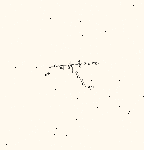 [N-]=[N+]=NCCOCCOCCC(=O)NCCCC[C@H](NC(=O)CCCNCC(O)CCOCCC1CC1CCN=[N+]=[N-])C(=O)CNCCOCCOCCOCCOCCC(=O)O